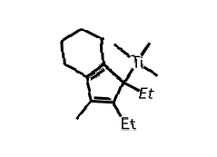 CCC1=C(C)C2=C(CCCC2)[C]1(CC)[Ti]([CH3])([CH3])[CH3]